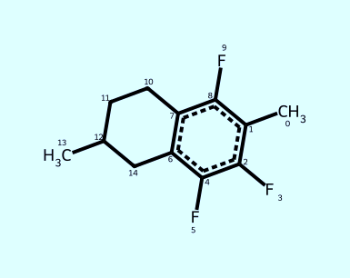 Cc1c(F)c(F)c2c(c1F)CCC(C)C2